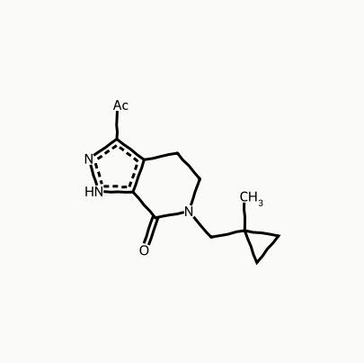 CC(=O)c1n[nH]c2c1CCN(CC1(C)CC1)C2=O